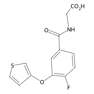 O=C(O)CNC(=O)c1ccc(F)c(Oc2ccsc2)c1